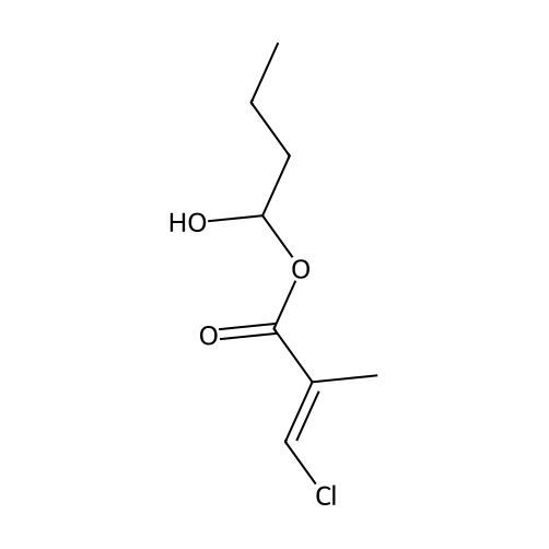 CCCC(O)OC(=O)/C(C)=C/Cl